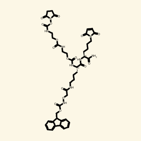 NC(=O)[C@H](CCCCN1C(=O)C=CC1=O)NC(=O)[C@H](CCCCNC(=O)CONC(=O)OCC1c2ccccc2-c2ccccc21)NC(=O)OCCNC(=O)OCCNC(=O)ON1C(=O)CCC1=O